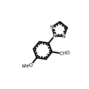 COc1ccc(-n2nccn2)c(C=O)c1